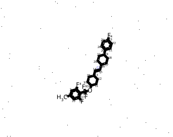 Cc1cc(F)c(C(F)(F)OC2CCC(/C=C/C3CCC(c4ccc(F)cc4)CC3)CC2)c(F)c1